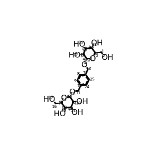 OC[C@H]1O[C@H](OCc2ccc(CO[C@H]3O[C@H](CO)[C@@H](O)[C@H](O)[C@@H]3O)cc2)[C@@H](O)[C@@H](O)[C@@H]1O